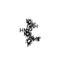 CC(NC(=O)Oc1c[nH]c2ncc(-c3nn(CCN(C)C)c4cc(F)ccc34)nc12)c1ccncc1